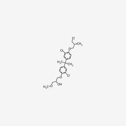 COC[C@H](O)COc1ccc(C(C)(C)c2ccc(OC[C@H](C)CCl)c(Cl)c2)cc1Cl